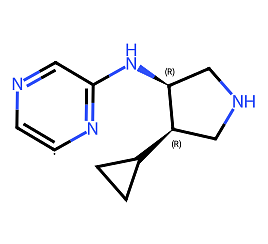 [c]1cncc(N[C@H]2CNC[C@H]2C2CC2)n1